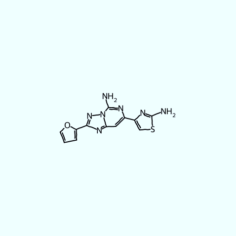 Nc1nc(-c2cc3nc(-c4ccco4)nn3c(N)n2)cs1